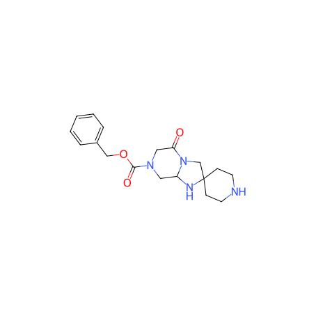 O=C(OCc1ccccc1)N1CC(=O)N2CC3(CCNCC3)NC2C1